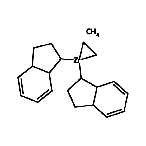 C.C1=CC2CC[CH]([Zr]3([CH]4CCC5C=CC=CC54)[CH2][CH2]3)C2C=C1